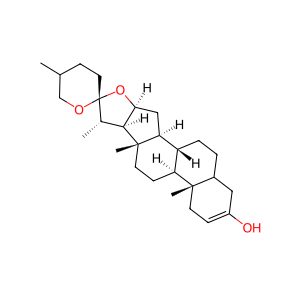 CC1CC[C@@]2(OC1)O[C@H]1C[C@H]3[C@@H]4CCC5CC(O)=CC[C@]5(C)[C@H]4CC[C@]3(C)[C@H]1[C@@H]2C